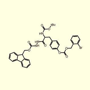 CC(C)(C)OC(=O)NC(Cc1ccc(OC(=O)OCc2ccccc2Br)cc1)C(=O)NNC(=O)OCC1c2ccccc2-c2ccccc21